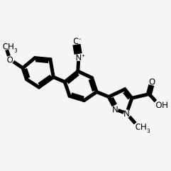 [C-]#[N+]c1cc(-c2cc(C(=O)O)n(C)n2)ccc1-c1ccc(OC)cc1